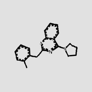 Cc1ccccc1Cc1nc(N2CCCC2)c2ccccc2n1